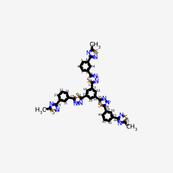 Cc1nc(-c2cccc(-c3nnc(-c4cc(-c5nnc(-c6cccc(-c7nsc(C)n7)c6)s5)cc(-c5nnc(-c6cccc(-c7nsc(C)n7)c6)s5)c4)s3)c2)ns1